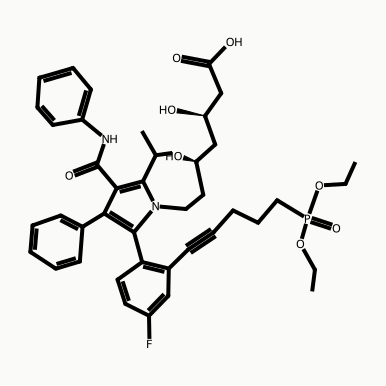 CCOP(=O)(CCCC#Cc1cc(F)ccc1-c1c(-c2ccccc2)c(C(=O)Nc2ccccc2)c(C(C)C)n1CC[C@@H](O)C[C@@H](O)CC(=O)O)OCC